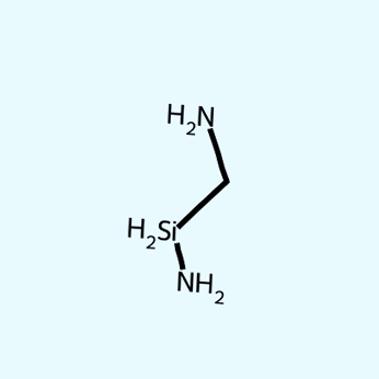 NC[SiH2]N